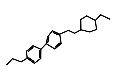 CCCc1ccc(-c2ccc(CCC3CCC(CC)CC3)cc2)cc1